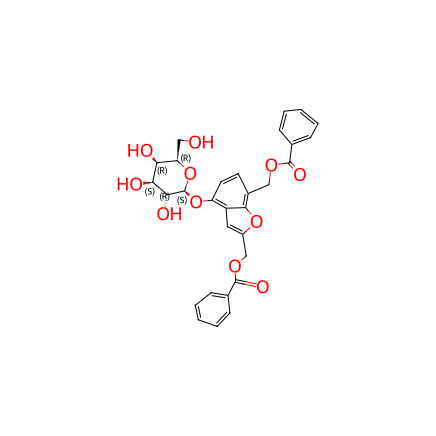 O=C(OCc1cc2c(O[C@@H]3O[C@H](CO)[C@H](O)[C@H](O)[C@H]3O)ccc(COC(=O)c3ccccc3)c2o1)c1ccccc1